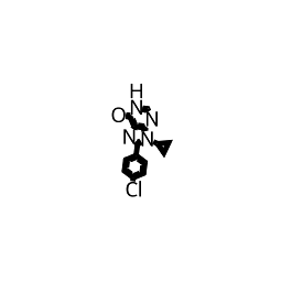 O=c1[nH]cnc2c1nc(-c1ccc(Cl)cc1)n2C1CC1